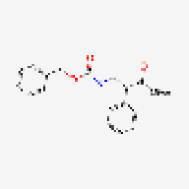 COC(=O)C(CNC(=O)OCc1ccccc1)c1ccccc1